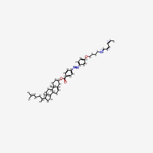 C\C=C/C=C\C=N\CCCCOc1ccc(N=Nc2ccc(C(=O)OC3CCC4(C)C(=CCC5C4CCC4(C)C(C(C)CCCC(C)C)CCC54)C3)cc2)cc1